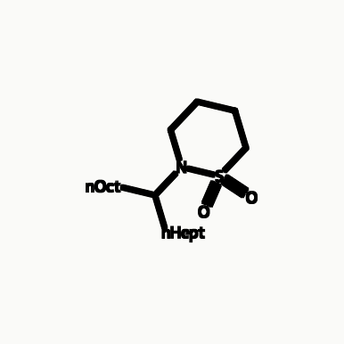 CCCCCCCCC(CCCCCCC)N1CCCCS1(=O)=O